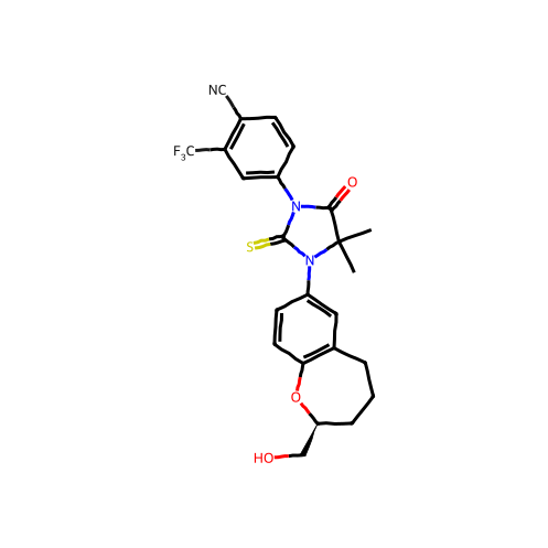 CC1(C)C(=O)N(c2ccc(C#N)c(C(F)(F)F)c2)C(=S)N1c1ccc2c(c1)CCC[C@@H](CO)O2